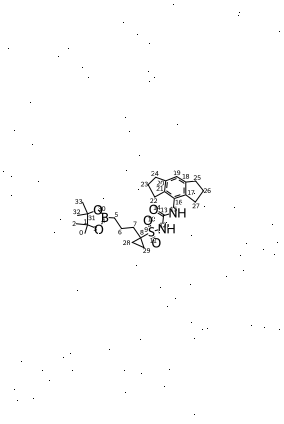 CC1(C)OB(CCCC2(S(=O)(=O)NC(=O)Nc3c4c(cc5c3CCC5)CCC4)CC2)OC1(C)C